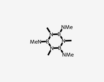 CNB1N(C)B(NC)N(C)B(NC)N1C